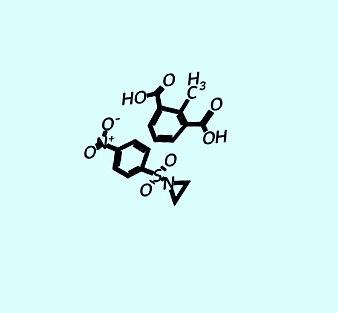 Cc1c(C(=O)O)cccc1C(=O)O.O=[N+]([O-])c1ccc(S(=O)(=O)N2CC2)cc1